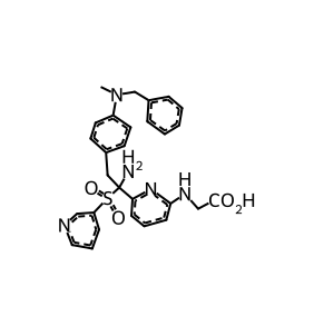 CN(Cc1ccccc1)c1ccc(CC(N)(c2cccc(NCC(=O)O)n2)S(=O)(=O)c2cccnc2)cc1